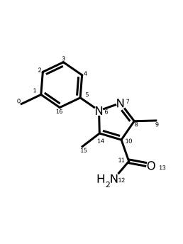 Cc1cccc(-n2nc(C)c(C(N)=O)c2C)c1